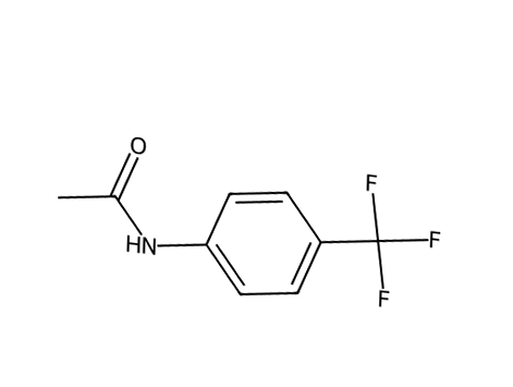 CC(=O)Nc1ccc(C(F)(F)F)cc1